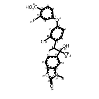 CC(c1ccc(Oc2ccc(C(=O)O)c(F)c2)cc1Cl)C(O)(c1ccc2oc(=O)n(C)c2c1)C(F)(F)F